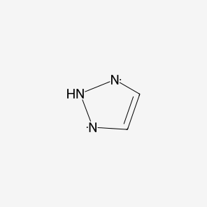 C1=C[N]N[N]1